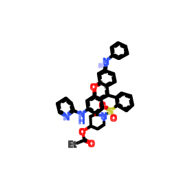 CCC(=O)OC1CCN(S(=O)(=O)c2ccccc2-c2c3cc/c(=N\c4ccccc4)cc-3oc3cc(Nc4ccccn4)ccc23)CC1